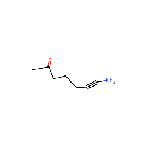 CC(=O)CCCC#CN